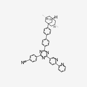 C[C@@H]1C[C@@H]2C[C@H](C)CC(c3ccc(-c4ccc(-c5nc(-c6ccc(C#N)cc6)nc(-c6ccc(-c7ccccn7)nc6)n5)cc4)cc3)(C1)C2